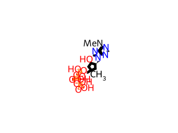 CNc1ncnc2c1ncn2C[C@@H]1C[C@](C)(COP(=O)(O)OP(=O)(O)OP(=O)(O)O)C[C@H]1O